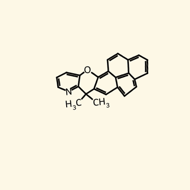 CC1(C)c2cc3ccc4cccc5ccc(c2Oc2cccnc21)c3c45